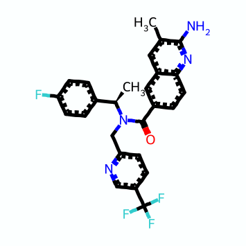 Cc1cc2cc(C(=O)N(Cc3ccc(C(F)(F)F)cn3)[C@H](C)c3ccc(F)cc3)ccc2nc1N